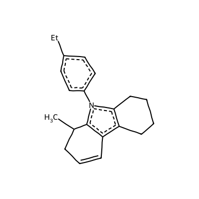 CCc1ccc(-n2c3c(c4c2C(C)CC=C4)CCCC3)cc1